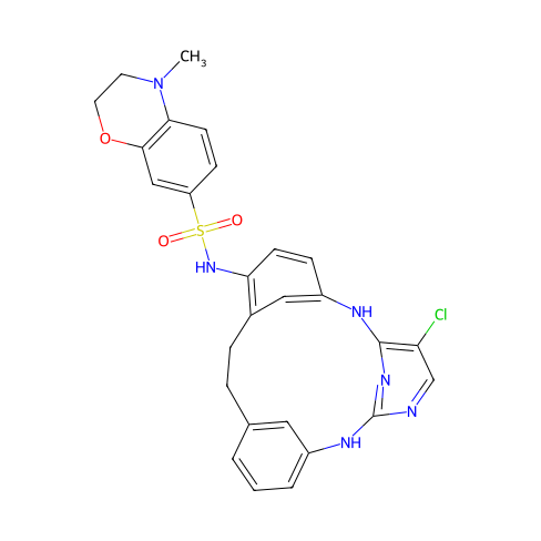 CN1CCOc2cc(S(=O)(=O)Nc3ccc4cc3CCc3cccc(c3)Nc3ncc(Cl)c(n3)N4)ccc21